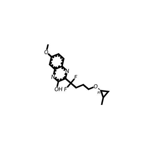 COc1ccc2nc(C(F)(F)CCCO[C@@H]3CC3C)c(O)nc2c1